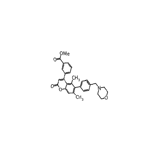 COC(=O)c1cccc(-c2cc(=O)oc3cc(C)c(-c4ccc(CN5CCOCC5)cc4)c(C)c23)c1